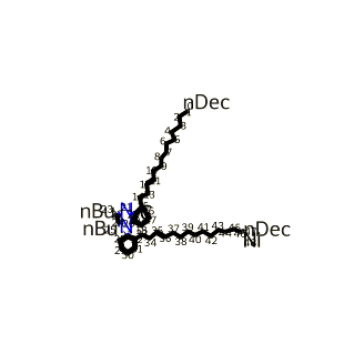 CCCCCCCCCCCCCCCCCCCCC=CCCc1ccccc1N=C(CCCC)C(CCCC)=Nc1ccccc1CCC=CCCCCCCCCCCCCCCCCCCCC.[Ni]